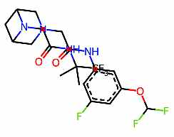 CC(C)(NC(=O)CN1C2CC1CN(CC(=O)Nc1cc(F)cc(OC(F)F)c1)C2)C(F)(F)F